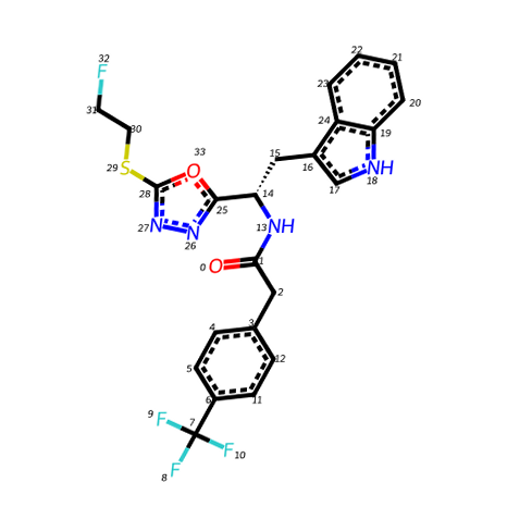 O=C(Cc1ccc(C(F)(F)F)cc1)N[C@@H](Cc1c[nH]c2ccccc12)c1nnc(SCCF)o1